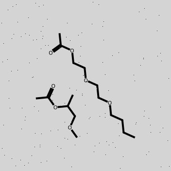 CCCCOCCOCCOC(C)=O.COCC(C)OC(C)=O